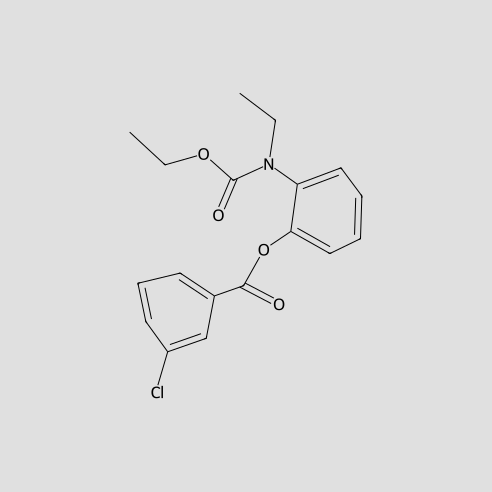 CCOC(=O)N(CC)c1ccccc1OC(=O)c1cccc(Cl)c1